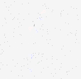 CN1CC[C@@H](Nc2cccc3c(SC(F)(F)F)c(-c4coc([C@H]5CCC(=O)N5)n4)sc23)[C@@H](F)C1